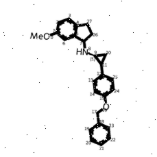 COc1ccc2c(c1)C(N[C@H]1CC1c1ccc(OCc3ccccc3)cc1)CC2